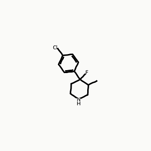 CC1CNCCC1(F)c1ccc(Cl)cc1